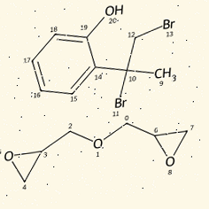 C(OCC1CO1)C1CO1.CC(Br)(CBr)c1ccccc1O